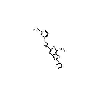 Nc1cccc(CCNc2nc(N)n3nc(-c4ccco4)nc3n2)c1